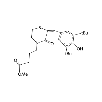 COC(=O)CCCN1CCS/C(=C/c2cc(C(C)(C)C)c(O)c(C(C)(C)C)c2)C1=O